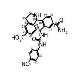 N#Cc1ccc(NC(=O)NCc2cc(C(N)=O)ccc2C2NCCc3cc(C(=O)O)ccc32)cc1